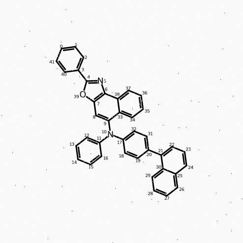 c1ccc(-c2nc3c(cc(N(c4ccccc4)c4ccc(-c5cccc6ccccc56)cc4)c4ccccc43)o2)cc1